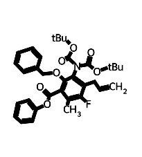 C=CCc1c(F)c(C)c(C(=O)Oc2ccccc2)c(OCc2ccccc2)c1N(C(=O)OC(C)(C)C)C(=O)OC(C)(C)C